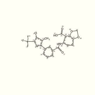 Cc1c(Cl)c(C(F)(F)F)nn1-c1cccc(C(=O)Nc2ccc3c(c2C(=O)O)OCO3)c1